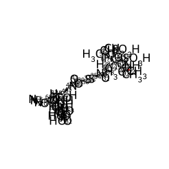 C=c1c(C(C)(C)C(C)C)cc2c(c1S(=O)(=O)O)Oc1c(cc3c(c1S(=O)(=O)O)NC(C)C3(C)C)C=2c1ccc(C(=O)NCCSSCCOC(=O)NCC#CC2=CN3C(=C(OP(=O)(O)OP(=O)(O)OP(=O)(O)O)[C@H]4O[C@@H]3CC4OCN=[N+]=[N-])NC2=O)cc1